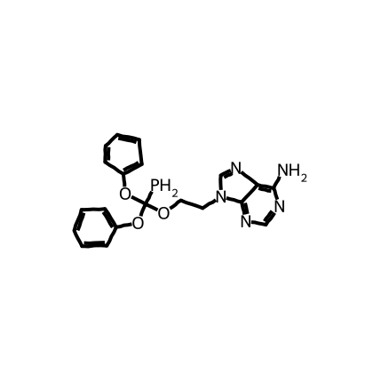 Nc1ncnc2c1ncn2CCOC(P)(Oc1ccccc1)Oc1ccccc1